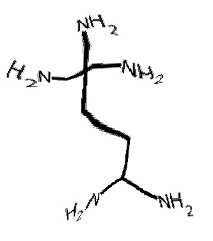 NC(N)CCC(N)(N)N